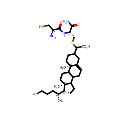 CC(C)CCC[C@@H](C)[C@H]1CCC2C3CC=C4CC(C(SC[C@H](NC(=O)[C@@H](N)CS)C(N)=O)C(=O)O)CC[C@]4(C)C3CC[C@@]21C